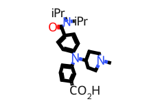 CC(C)N(C(=O)c1ccc(N(c2cccc(C(=O)O)c2)C2CCN(C)CC2)cc1)C(C)C